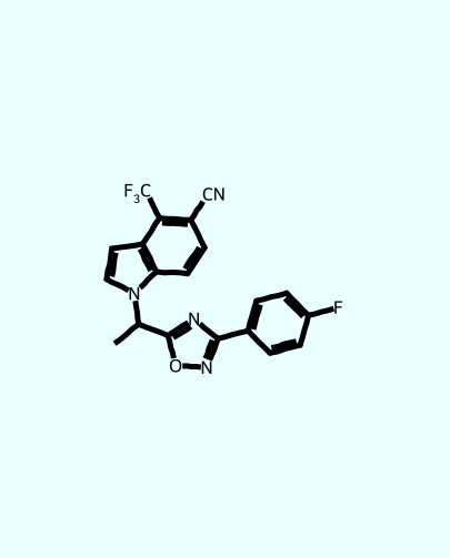 CC(c1nc(-c2ccc(F)cc2)no1)n1ccc2c(C(F)(F)F)c(C#N)ccc21